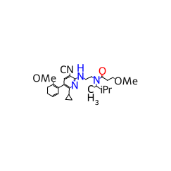 COCCC(=O)N(CCNc1nc(C2CC2)c(C2=C(OC)CCC=C2)cc1C#N)C(C)C(C)C